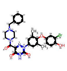 Cc1cc(-n2nc(C(=O)N3CCN(Cc4ccccc4)CC3)c(=O)[nH]c2=O)cc(C)c1Oc1ccc(O)c(Br)c1